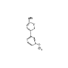 CCCc1[c]cc(-c2cccc(OC(F)(F)F)c2)cc1